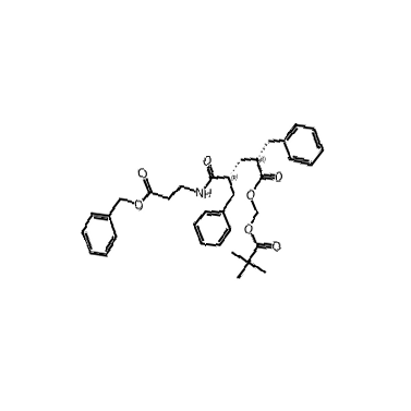 CC(C)(C)C(=O)OCOC(=O)[C@@H](Cc1ccccc1)C[C@H](Cc1ccccc1)C(=O)NCCC(=O)OCc1ccccc1